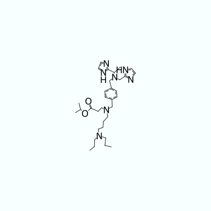 CCCN(CCC)CCCCN(CCC(=O)OC(C)C)Cc1ccc(CN(Cc2ncc[nH]2)C(C)c2ncc[nH]2)cc1